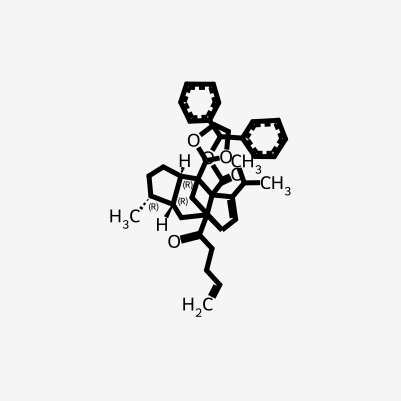 C=CCCC(=O)C12C[C@@H]3[C@H](C)CC[C@H]3C3(C4OCCO4)CC1C=C(C(C)C)C23C(=O)OC(c1ccccc1)c1ccccc1